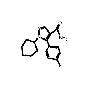 NC(=O)c1cnn(C2CCCCC2)c1-c1ccc(F)cc1